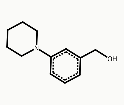 OCc1cccc(N2CCCCC2)c1